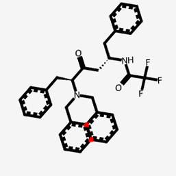 O=C(C[C@H](Cc1ccccc1)NC(=O)C(F)(F)F)[C@H](Cc1ccccc1)N(Cc1ccccc1)Cc1ccccc1